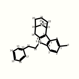 Cc1ccc2c(c1)c1c(n2CCc2ccccc2)CC2CCCC1N2C